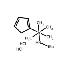 CC(C)(C)[NH][Zr]([CH3])([CH3])([CH3])([CH3])[C]1=CC=CC1.Cl.Cl